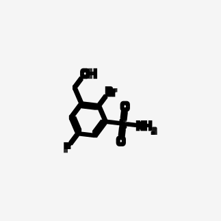 NS(=O)(=O)c1cc(F)cc(CO)c1Br